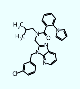 CC(C)CN(Cc1nc2cccnc2n1Cc1cccc(Cl)c1)C(=O)c1ccccc1-n1cccc1